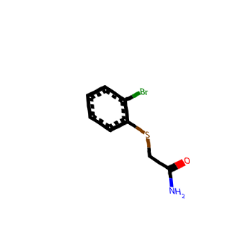 NC(=O)CSc1ccccc1Br